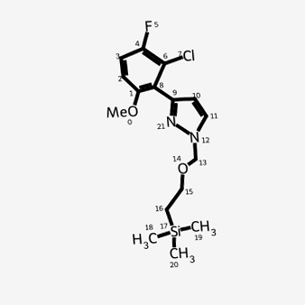 COc1ccc(F)c(Cl)c1-c1ccn(COCC[Si](C)(C)C)n1